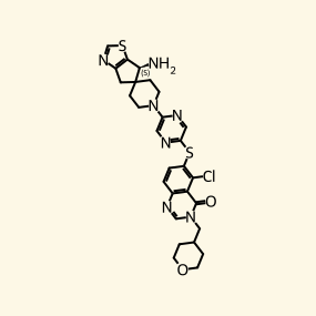 N[C@@H]1c2scnc2CC12CCN(c1cnc(Sc3ccc4ncn(CC5CCOCC5)c(=O)c4c3Cl)cn1)CC2